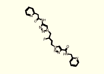 O=C(Cc1ccccn1)Nc1cn(CC(F)CCn2cc(C(=O)NCc3ccccn3)nn2)nn1